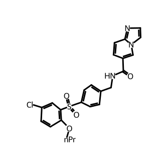 CCCOc1ccc(Cl)cc1S(=O)(=O)c1ccc(CNC(=O)c2ccc3nccn3c2)cc1